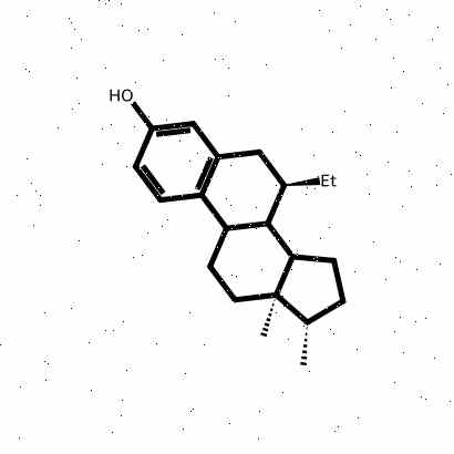 CC[C@@H]1Cc2cc(O)ccc2C2CC[C@@]3(C)C(CC[C@@H]3C)C21